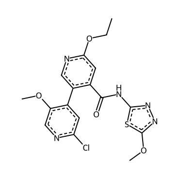 CCOc1cc(C(=O)Nc2nnc(OC)s2)c(-c2cc(Cl)ncc2OC)cn1